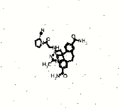 Cc1nnc(C2(CCNCC(=O)N3CCC[C@H]3C#N)c3ccc(C(N)=O)cc3CCc3cc(C(N)=O)ccc32)[nH]1